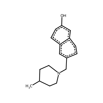 CC1CCN(Cc2ccc3cc(O)ccc3c2)CC1